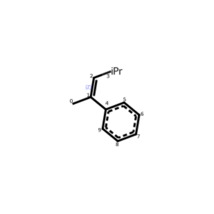 C/C(=C/C(C)C)c1ccccc1